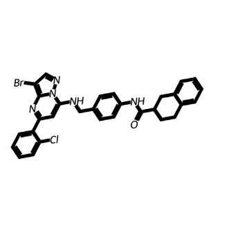 O=C(Nc1ccc(CNc2cc(-c3ccccc3Cl)nc3c(Br)cnn23)cc1)C1CCc2ccccc2C1